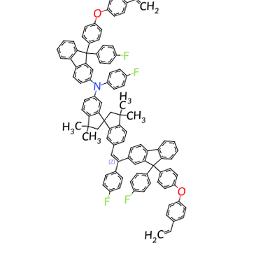 C=Cc1ccc(Oc2ccc(C3(c4ccc(F)cc4)c4ccccc4-c4ccc(/C(=C\c5ccc6c(c5)C5(CC6(C)C)CC(C)(C)c6ccc(N(c7ccc(F)cc7)c7ccc8c(c7)C(c7ccc(F)cc7)(c7ccc(Oc9ccc(C=C)cc9)cc7)c7ccccc7-8)cc65)c5ccc(F)cc5)cc43)cc2)cc1